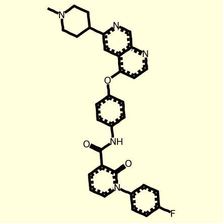 CN1CCC(c2cc3c(Oc4ccc(NC(=O)c5cccn(-c6ccc(F)cc6)c5=O)cc4)ccnc3cn2)CC1